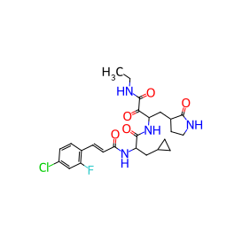 CCNC(=O)C(=O)C(CC1CCNC1=O)NC(=O)C(CC1CC1)NC(=O)/C=C/c1ccc(Cl)cc1F